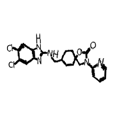 O=C1OC2(CCC(CNc3nc4cc(Cl)c(Cl)cc4[nH]3)CC2)CN1c1ccccn1